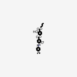 CCCCOC(=O)c1ccc(OC(=O)c2ccc(/N=N/c3ccc(N(C)C)cc3)c(OC)c2)cc1O